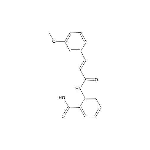 COc1cccc(C=CC(=O)Nc2ccccc2C(=O)O)c1